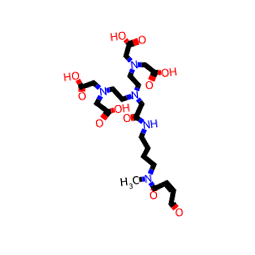 CN(CCCCNC(=O)CN(CCN(CC(=O)O)CC(=O)O)CCN(CC(=O)O)CC(=O)O)C(=O)/C=C\C=O